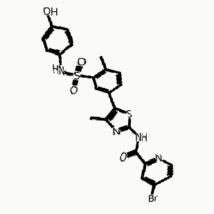 Cc1ccc(-c2sc(NC(=O)c3cc(Br)ccn3)nc2C)cc1S(=O)(=O)Nc1ccc(O)cc1